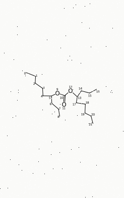 CCCCCC(CCC)OC(=O)OC(CCC)CCCCC